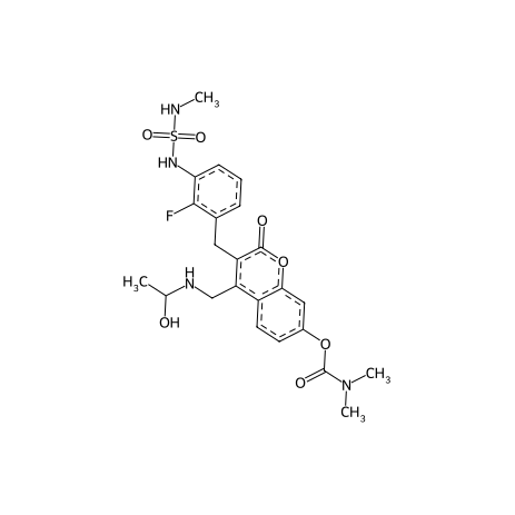 CNS(=O)(=O)Nc1cccc(Cc2c(CNC(C)O)c3ccc(OC(=O)N(C)C)cc3oc2=O)c1F